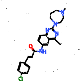 Cc1nc(N2CCCN(C)CC2)nc2ccc(NC(=O)C=Cc3ccc(Cl)cc3)cc12